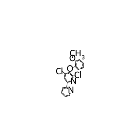 COc1ccccc1Oc1c(Cl)cc(-c2ccccn2)nc1Cl